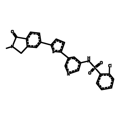 CN1Cc2cc(-c3ccc(-c4cncc(NS(=O)(=O)c5ccccc5Cl)c4)s3)ccc2C1=O